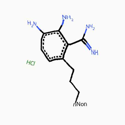 CCCCCCCCCCCCc1ccc(N)c(N)c1C(=N)N.Cl